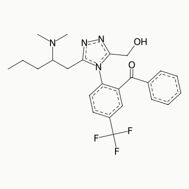 CCCC(Cc1nnc(CO)n1-c1ccc(C(F)(F)F)cc1C(=O)c1ccccc1)N(C)C